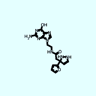 Nc1nc(O)c2ncn(CCNC(=O)CC3(c4ccco4)C=CNN3)c2n1